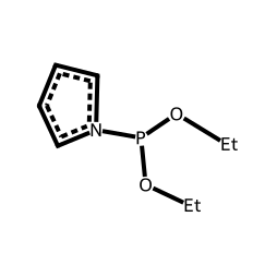 CCOP(OCC)n1cccc1